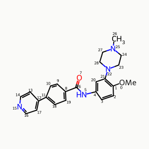 COc1ccc(NC(=O)c2ccc(-c3ccncc3)cc2)cc1N1CCN(C)CC1